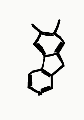 Cc1cc2c(cc1C)-c1ccncc1C2